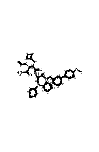 C=CC[C@H](C(N)=O)[C@@H](CC1CCC1)C(=O)NC1CN(c2ccccc2)c2ccccc2N(Cc2cccc(-c3ccc(OC)cc3)c2)C1=O